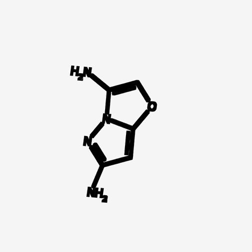 Nc1cc2occ(N)n2n1